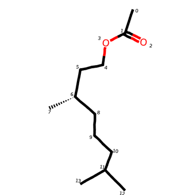 CC(=O)OCC[C@@H](C)CCCC(C)C